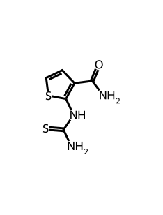 NC(=O)c1ccsc1NC(N)=S